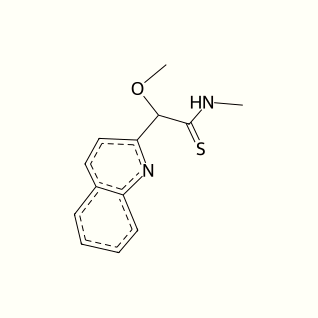 CNC(=S)C(OC)c1ccc2ccccc2n1